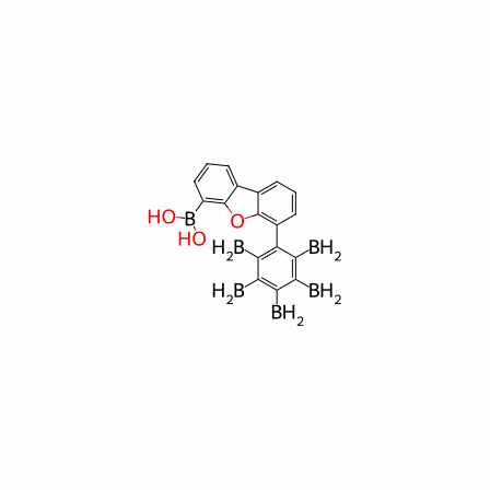 Bc1c(B)c(B)c(-c2cccc3c2oc2c(B(O)O)cccc23)c(B)c1B